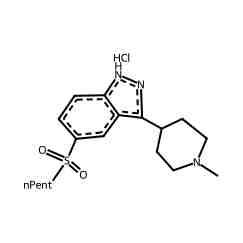 CCCCCS(=O)(=O)c1ccc2[nH]nc(C3CCN(C)CC3)c2c1.Cl